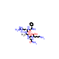 CC(NC(=O)[C@H](CCCNC(=N)N)NC(=O)[C@H]1N[C@H]1c1ccccc1)C(=O)N[C@@H](CCC(N)=O)C(=O)NC(CCCCN)C(=O)O